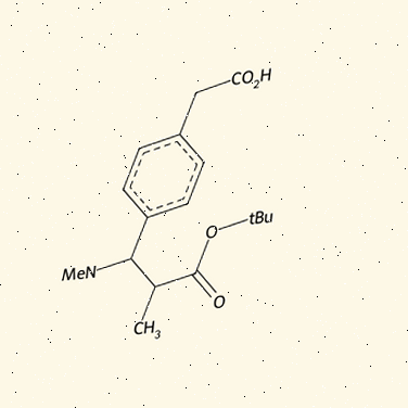 CNC(c1ccc(CC(=O)O)cc1)C(C)C(=O)OC(C)(C)C